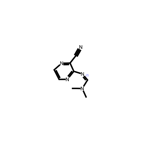 CN(C)/C=N\c1nccnc1C#N